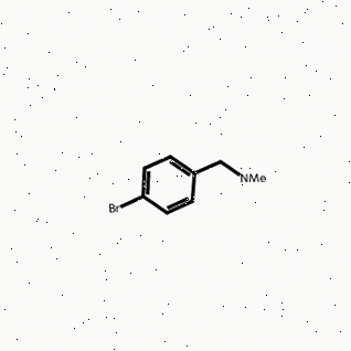 [CH]NCc1ccc(Br)cc1